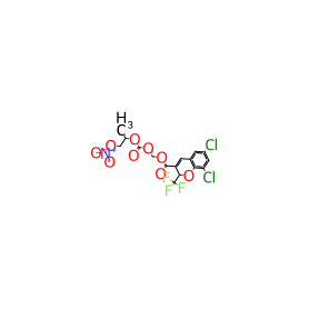 CC(CO[N+](=O)[O-])OC(=O)OCOC(=O)C1=Cc2cc(Cl)cc(Cl)c2OC1C(F)(F)F